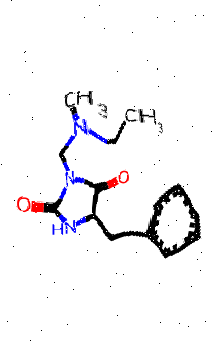 CCN(C)CN1C(=O)NC(Cc2ccccc2)C1=O